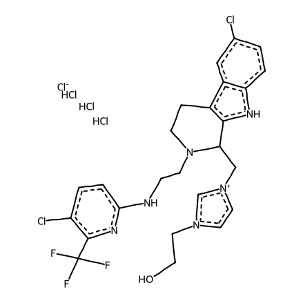 Cl.Cl.Cl.OCCn1cc[n+](CC2c3[nH]c4ccc(Cl)cc4c3CCN2CCNc2ccc(Cl)c(C(F)(F)F)n2)c1.[Cl-]